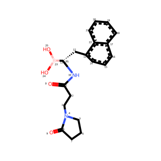 O=C(CCN1CCCC1=O)N[C@@H](Cc1cccc2ccccc12)B(O)O